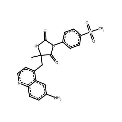 CC1(Cc2ccnc3ccc(N)cc23)NC(=O)N(c2ccc(S(=O)(=O)C(F)(F)F)cc2)C1=O